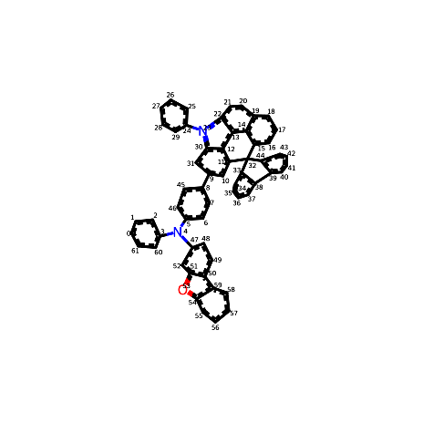 c1ccc(N(c2ccc(-c3cc4c5c6c7c(cccc7ccc6n(-c6ccccc6)c5c3)C43c4ccccc4-c4ccccc43)cc2)c2ccc3c(c2)oc2ccccc23)cc1